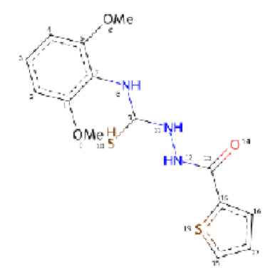 COc1cccc(OC)c1NC(S)NNC(=O)c1cccs1